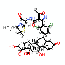 C[C@]12C=CC(=O)C=C1CC[C@@H]1[C@@H]2[C@@H](O)C[C@@]2(C)[C@H]1CC[C@]2(O)C(=O)CO.Cc1onc(-c2c(Cl)cccc2Cl)c1C(=O)N[C@@H]1C(=O)N2[C@@H]1SC(C)(C)[C@@H]2C(=O)O